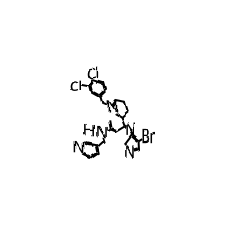 C/C(=C\C(=N/C1=C(Br)C=NC1)C1CCCN(Cc2ccc(Cl)c(Cl)c2)C1)NCc1cccnc1